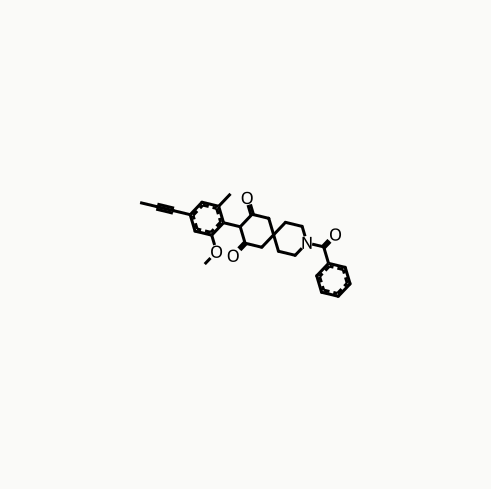 CC#Cc1cc(C)c(C2C(=O)CC3(CCN(C(=O)c4ccccc4)CC3)CC2=O)c(OC)c1